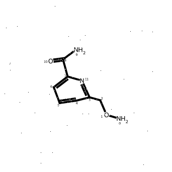 NOCc1cccc(C(N)=O)n1